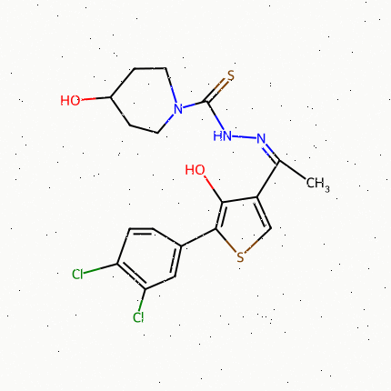 CC(=NNC(=S)N1CCC(O)CC1)c1csc(-c2ccc(Cl)c(Cl)c2)c1O